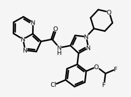 O=C(Nc1cn(C2CCOCC2)nc1-c1cc(Cl)ccc1OC(F)F)c1cnn2cccnc12